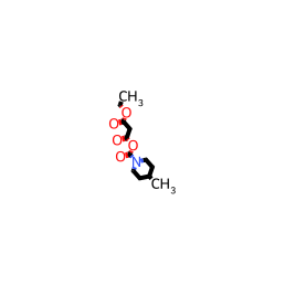 CCOC(=O)CC(=O)OC(=O)N1CCC(C)CC1